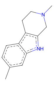 Cc1ccc2c3c([nH]c2c1)CN(C)CC3